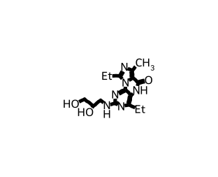 CCc1nc(NCC(O)CO)nc2c1[nH]c(=O)c1c(C)nc(CC)n12